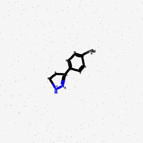 CCCCc1ccc(C2=NNCC2)cc1